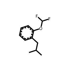 CC(C)Cc1ccccc1OC(F)F